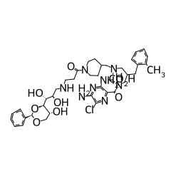 Cc1ccccc1CC(CNC(=O)c1nc(Cl)c(N)nc1N)CN(CC1CCN(C(=O)CCNC[C@@H](O)[C@@H](O)[C@@H]2O[C@H](c3ccccc3)OC[C@H]2O)CC1)C(=O)O